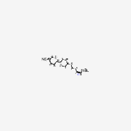 CCCC/C=C\CCC[C@H]1CC[C@H]([C@H]2CC[C@H](C#N)CC2)CC1